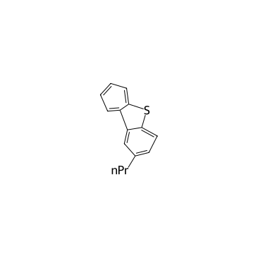 CCCc1ccc2sc3ccccc3c2c1